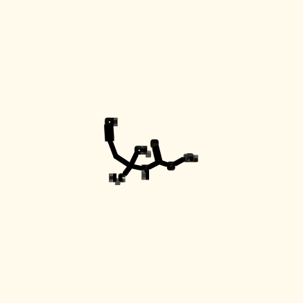 C#CCC(C)(C)NC(=O)OC(C)(C)C